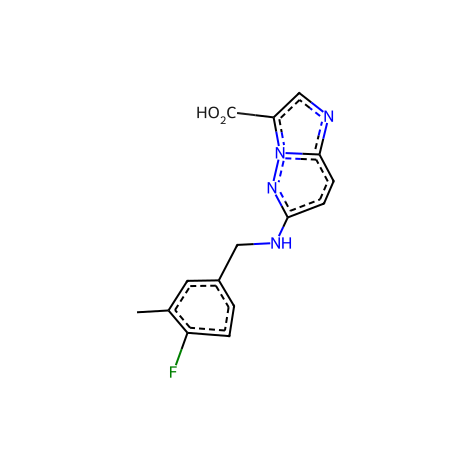 Cc1cc(CNc2ccc3ncc(C(=O)O)n3n2)ccc1F